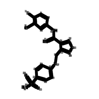 N=C(Nc1ccc(F)c(Cl)c1)c1nonc1COc1ccc(S(N)(=O)=O)cc1